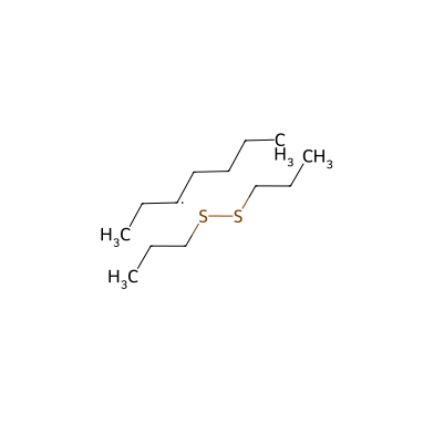 CCCSSCCC.CC[CH]CCCC